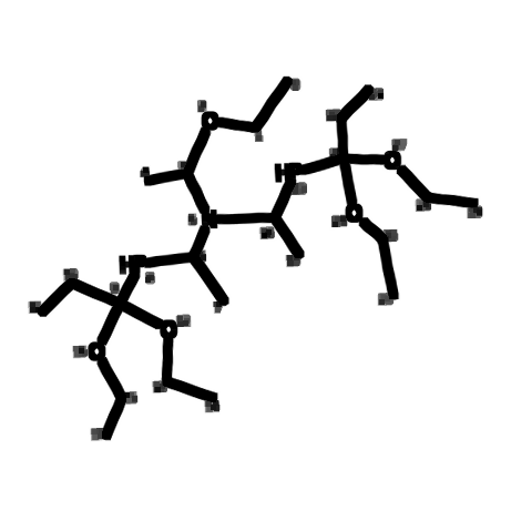 CCOC(C)N(C(C)PC(CC)(OCC)OCC)C(C)PC(CC)(OCC)OCC